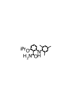 Cc1cc(C)c(Nc2cccc(OC(C)C)c2C(N)=O)c(C)c1